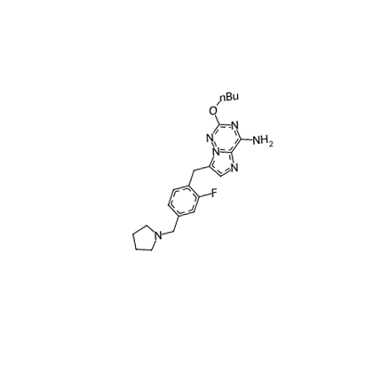 CCCCOc1nc(N)c2ncc(Cc3ccc(CN4CCCC4)cc3F)n2n1